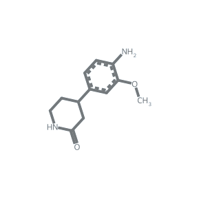 COc1cc(C2CCNC(=O)C2)ccc1N